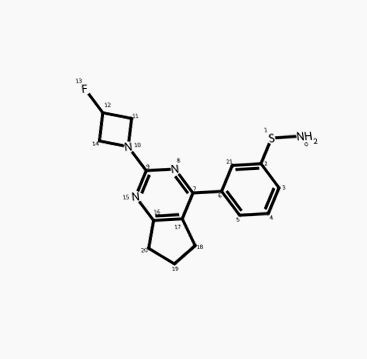 NSc1cccc(-c2nc(N3CC(F)C3)nc3c2CCC3)c1